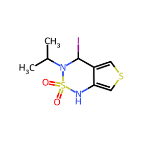 CC(C)N1C(I)c2cscc2NS1(=O)=O